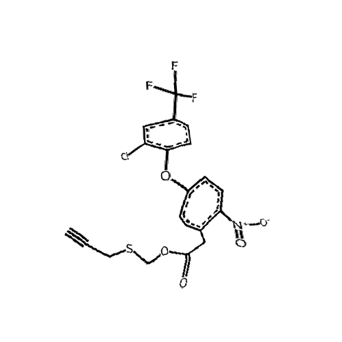 C#CCSCOC(=O)Cc1cc(Oc2ccc(C(F)(F)F)cc2Cl)ccc1[N+](=O)[O-]